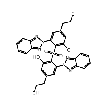 O=S(=O)(c1c(O)cc(CCO)cc1-n1nc2ccccc2n1)c1c(O)cc(CCO)cc1-n1nc2ccccc2n1